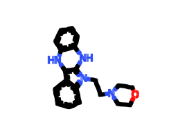 c1ccc2c(c1)Nc1c(n(CCN3CCOCC3)c3ccccc13)N2